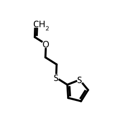 C=COCCSc1cccs1